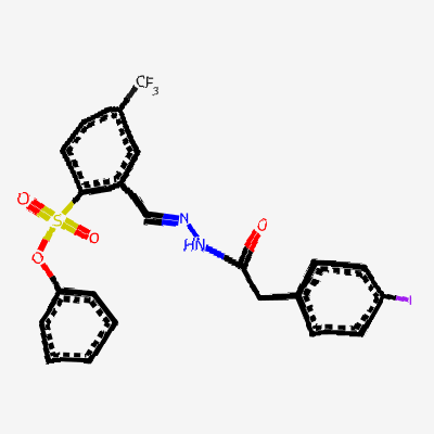 O=C(Cc1ccc(I)cc1)N/N=C/c1cc(C(F)(F)F)ccc1S(=O)(=O)Oc1ccccc1